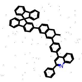 CC1Cc2ccc(-c3ccc4c(c3)C3(c5ccccc5-c5ccccc53)c3ccccc3-4)cc2C=C1c1ccc(-c2cc(-c3ccccc3)nc3ccccc23)cc1